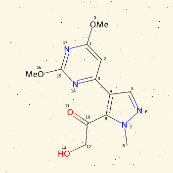 COc1cc(-c2cnn(C)c2C(=O)CO)nc(OC)n1